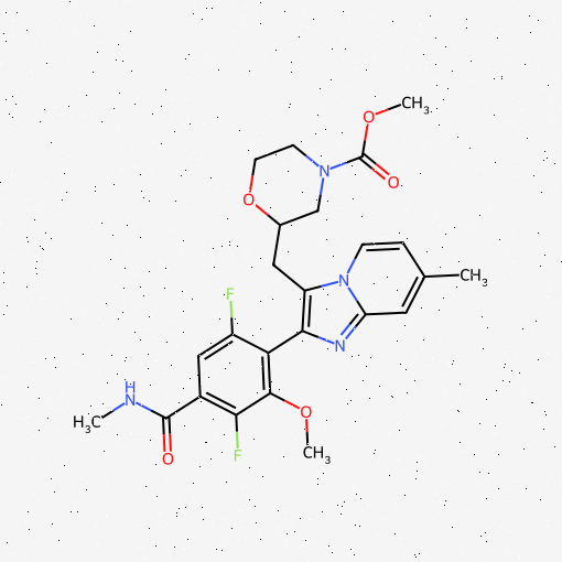 CNC(=O)c1cc(F)c(-c2nc3cc(C)ccn3c2CC2CN(C(=O)OC)CCO2)c(OC)c1F